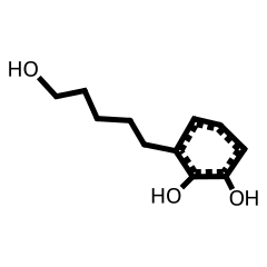 OCCCCCc1cccc(O)c1O